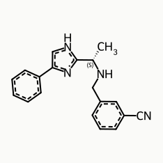 C[C@H](NCc1cccc(C#N)c1)c1nc(-c2ccccc2)c[nH]1